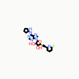 O[C@@H]1[C@H](O)[C@@H](C#Cc2cccc(F)n2)O[C@H]1n1cnc2c(NC3CCCC3)ncnc21